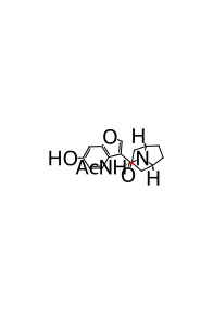 CC(=O)N[C@H]1C[C@H]2CC[C@@H](C1)N2C(=O)c1coc2cc(O)ccc12